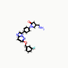 NCC1CC(=O)N(c2ccc(-c3cnc4ccc(OCc5cccc(F)c5)nn34)cc2)C1